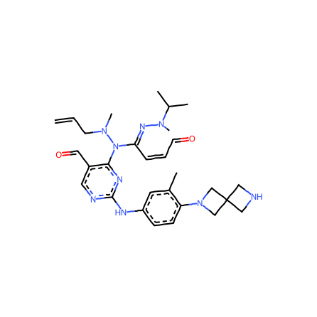 C=CCN(C)N(C(/C=C\C=O)=N/N(C)C(C)C)c1nc(Nc2ccc(N3CC4(CNC4)C3)c(C)c2)ncc1C=O